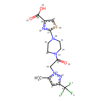 Cc1cc(C(F)(F)F)nn1CC(=O)N1CCN(c2nc(C(=O)O)cs2)CC1